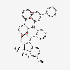 CC(C)(C)c1ccc2c(c1)C(C)(C)c1cccc(-c3ccccc3N(c3cccc(-c4ccccc4)c3)c3ccccc3-c3ccccc3)c1-2